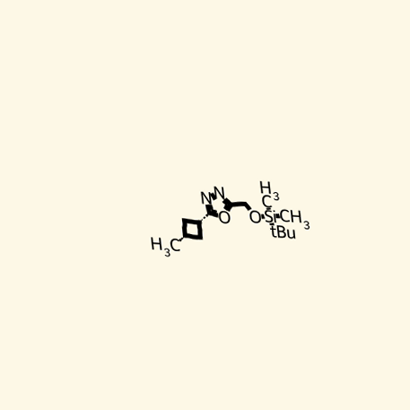 CC(C)(C)[Si](C)(C)OCc1nnc([C@H]2C[C@@H](C)C2)o1